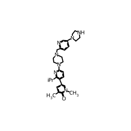 Cc1cc(-c2ccc(N3CCN(Cc4ccc(N5CCNCC5)cn4)CC3)nc2C(C)C)cn(C)c1=O